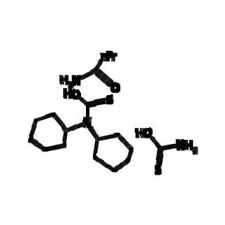 CCCC(N)=O.NC(O)=S.OC(=S)N(C1CCCCC1)C1CCCCC1